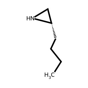 CCCC[C@H]1CN1